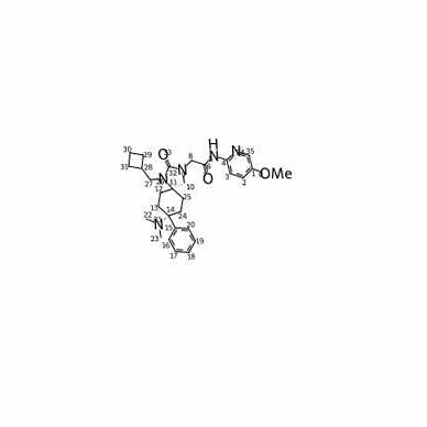 COc1ccc(NC(=O)CN2C[C@]3(CC[C@@](c4ccccc4)(N(C)C)CC3)N(CC3CCC3)C2=O)nc1